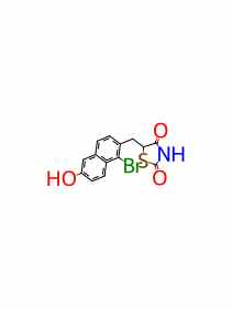 O=C1NC(=O)C(Cc2ccc3cc(O)ccc3c2Br)S1